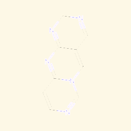 C1=CC2=NC3=NCN=CC3=CN2C=N1